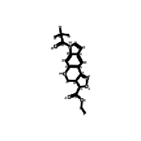 CCOC(=O)C1ON=C2c3cc4ccn(C(=O)C(C)(C)C)c4cc3OCC21